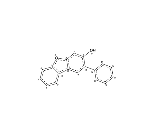 Oc1cc2oc3ccccc3c2cc1-c1ccccc1